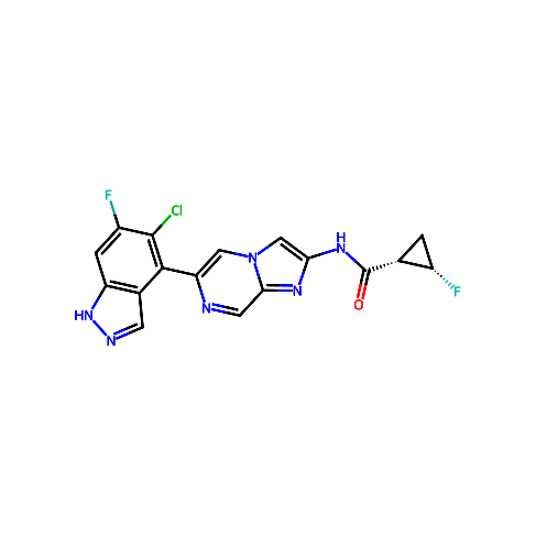 O=C(Nc1cn2cc(-c3c(Cl)c(F)cc4[nH]ncc34)ncc2n1)[C@@H]1C[C@@H]1F